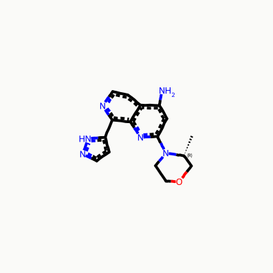 C[C@@H]1COCCN1c1cc(N)c2ccnc(-c3ccn[nH]3)c2n1